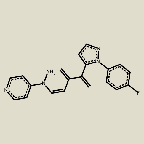 C=C(/C=C\N(N)c1ccncc1)C(=C)c1ccnn1-c1ccc(F)cc1